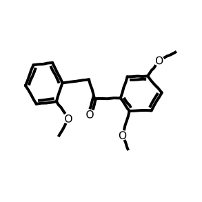 COc1ccc(OC)c(C(=O)Cc2ccccc2OC)c1